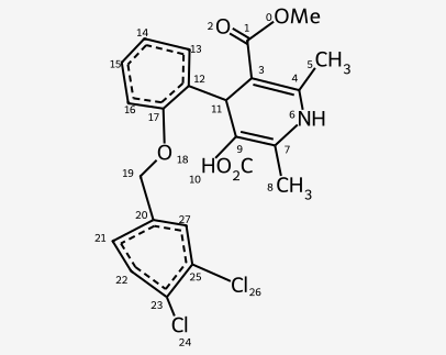 COC(=O)C1=C(C)NC(C)=C(C(=O)O)C1c1ccccc1OCc1ccc(Cl)c(Cl)c1